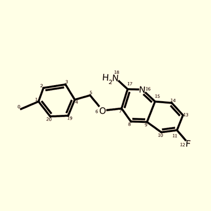 Cc1ccc(COc2cc3cc(F)ccc3nc2N)cc1